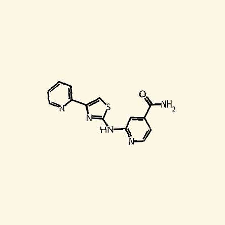 NC(=O)c1ccnc(Nc2nc(-c3ccccn3)cs2)c1